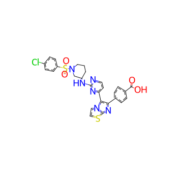 O=C(O)c1ccc(-c2nc3sccn3c2-c2ccnc(N[C@@H]3CCCN(S(=O)(=O)c4ccc(Cl)cc4)C3)n2)cc1